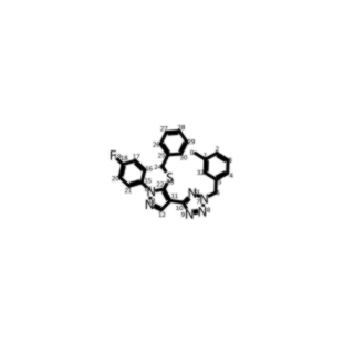 Cc1cccc(Cn2nnc(-c3cnn(-c4ccc(F)cc4)c3SCc3ccccc3)n2)c1